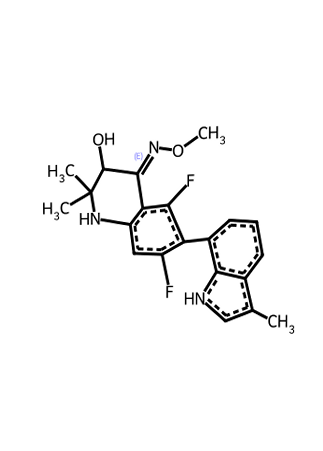 CO/N=C1\c2c(cc(F)c(-c3cccc4c(C)c[nH]c34)c2F)NC(C)(C)C1O